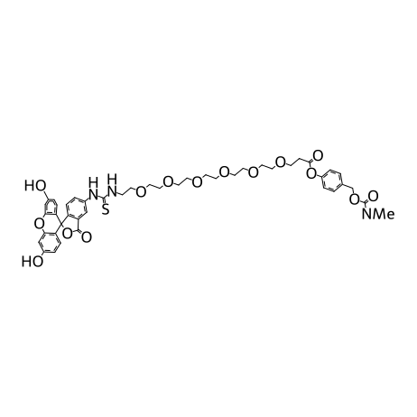 CNC(=O)OCc1ccc(OC(=O)CCOCCOCCOCCOCCOCCOCCNC(=S)Nc2ccc3c(c2)C(=O)OC32c3ccc(O)cc3Oc3cc(O)ccc32)cc1